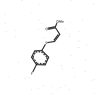 COC(=O)/C=C\Sc1ccc(F)cc1